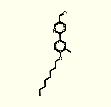 CCCCCCCCOc1ccc(-c2ccc(C=O)cn2)cc1C